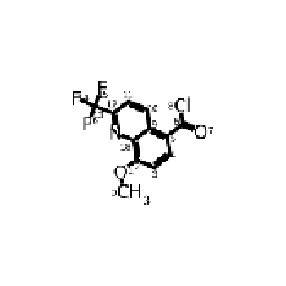 COc1ccc(C(=O)Cl)c2ccc(C(F)(F)F)nc12